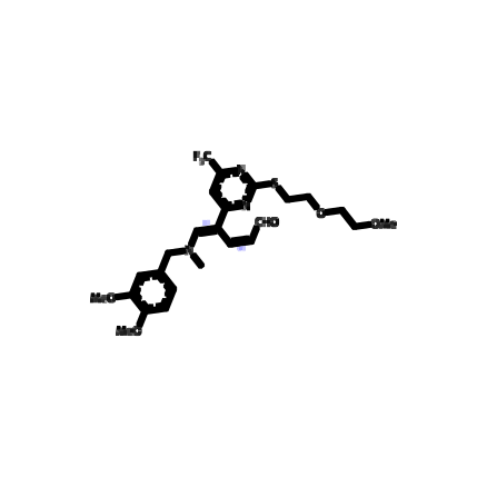 COCCOCCSc1nc(C(/C=C\C=O)=C/N(C)Cc2ccc(OC)c(OC)c2)cc(C(F)(F)F)n1